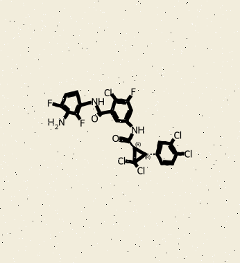 Nc1c(F)ccc(NC(=O)c2cc(NC(=O)[C@H]3[C@H](c4ccc(Cl)c(Cl)c4)C3(Cl)Cl)cc(F)c2Cl)c1F